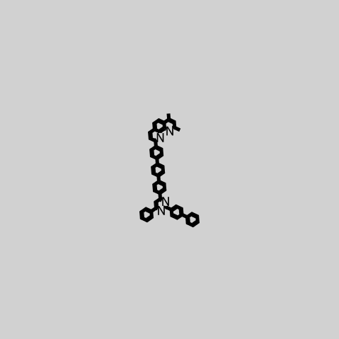 Cc1cc(C)c2ccc3ccc(-c4ccc(-c5ccc(-c6ccc(-c7cc(-c8ccccc8)nc(-c8ccc(-c9ccccc9)cc8)n7)cc6)cc5)cc4)nc3c2n1